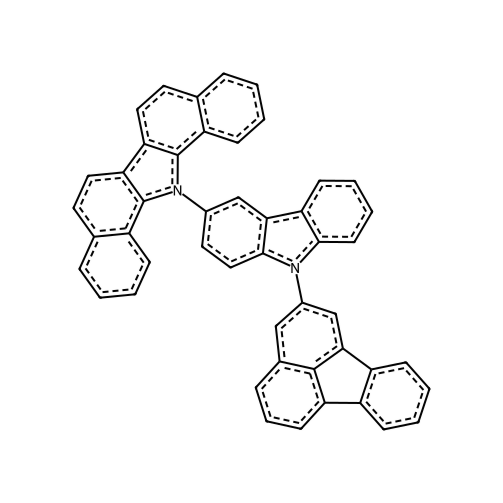 c1ccc2c(c1)-c1cccc3cc(-n4c5ccccc5c5cc(-n6c7c8ccccc8ccc7c7ccc8ccccc8c76)ccc54)cc-2c13